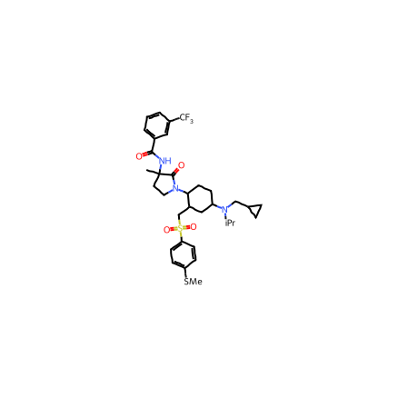 CSc1ccc(S(=O)(=O)CC2CC(N(CC3CC3)C(C)C)CCC2N2CCC(C)(NC(=O)c3cccc(C(F)(F)F)c3)C2=O)cc1